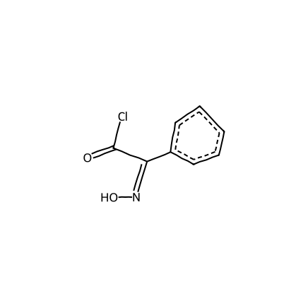 O=C(Cl)C(=NO)c1ccccc1